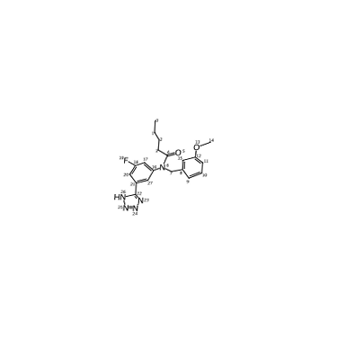 CCCCC(=O)N(Cc1cccc(OC)c1)c1cc(F)cc(-c2nnn[nH]2)c1